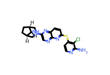 Nc1nccc(Sc2ccc3nc(N4C[C@H]5CC[C@@H](C4)[C@@H]5N)cnc3n2)c1Cl